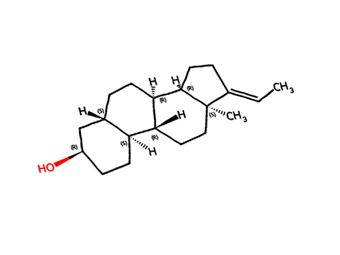 CC=C1CC[C@@H]2[C@@H]3CC[C@H]4C[C@H](O)CC[C@@H]4[C@H]3CC[C@]12C